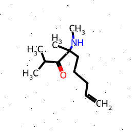 C=CCCCC(C)(NC)C(=O)C(C)C